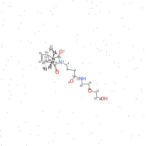 O=C(CCCN1C(=O)[C@@H]2[C@H](C1=O)[C@H]1C=C[C@@H]2C1)NCCOCCO